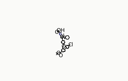 C/C(=C\c1cc(-c2ccc(OCc3cc(C(=O)OC(C)(C)C)ccc3-c3ccc(Cl)cc3)cc2)n(C2CCCCC2)n1)C(=O)O